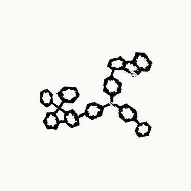 c1ccc(-c2ccc(N(c3ccc(-c4ccc5c(c4)C(c4ccccc4)(c4ccccc4)c4ccccc4-5)cc3)c3ccc(-c4cccc5c4oc4ccccc45)cc3)cc2)cc1